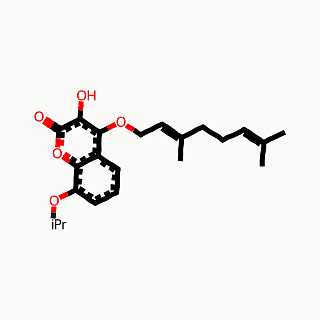 CC(C)=CCC/C(C)=C/COc1c(O)c(=O)oc2c(OC(C)C)cccc12